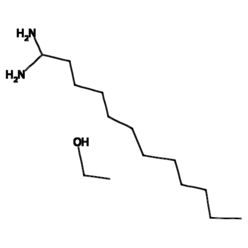 CCCCCCCCCCCC(N)N.CCO